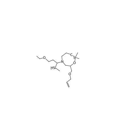 C=CCOCC1CN(C(CCOCC)[SiH](C)C)CCC[Si](C)(C)O1